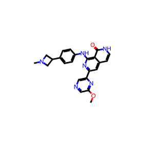 COc1cncc(-c2cc3cc[nH]c(=O)c3c(Nc3ccc(C4CN(C)C4)cc3)n2)n1